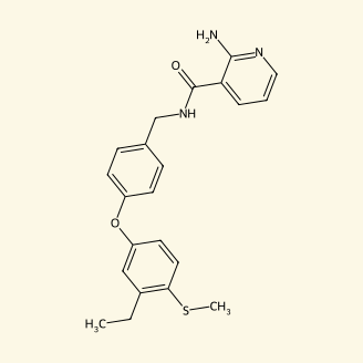 CCc1cc(Oc2ccc(CNC(=O)c3cccnc3N)cc2)ccc1SC